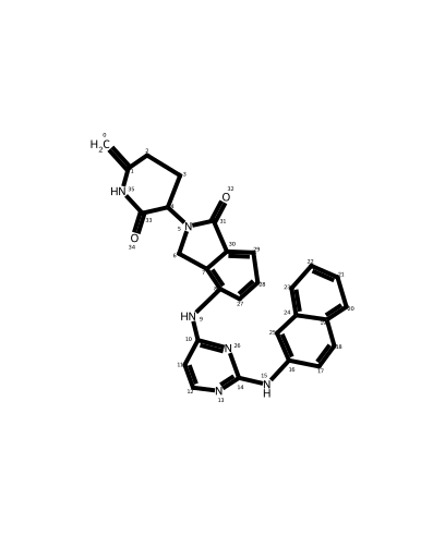 C=C1CCC(N2Cc3c(Nc4ccnc(Nc5ccc6ccccc6c5)n4)cccc3C2=O)C(=O)N1